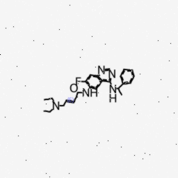 CCN(CC)C/C=C/C(=O)Nc1cc2c(NC(C)c3ccccc3)ncnc2cc1F